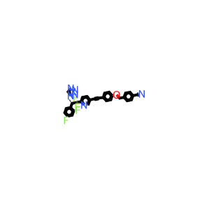 N#Cc1ccc(COc2ccc(C#Cc3ccc(C(F)(F)[C@@H](Cn4cnnn4)c4ccc(F)cc4F)nc3)cc2)cc1